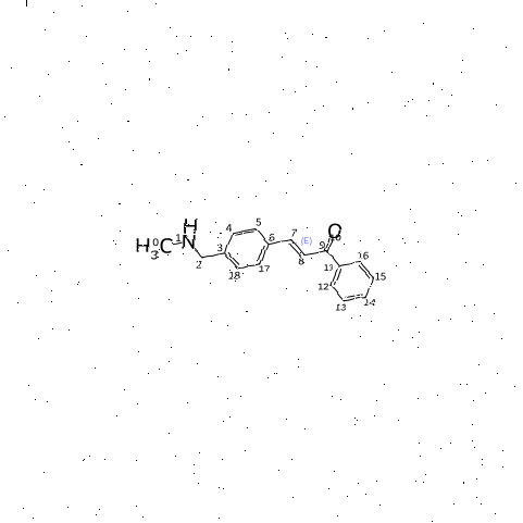 CNCc1ccc(/C=C/C(=O)c2ccccc2)cc1